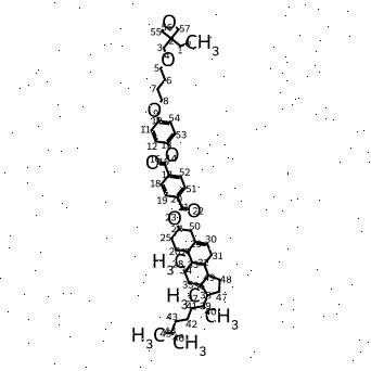 CCC1(COCCCCOc2ccc(OC(=O)c3ccc(C(=O)OC4CCC5(C)C(=CCC6C5CCC5(C)C(C(C)CCCC(C)C)CCC65)C4)cc3)cc2)COC1